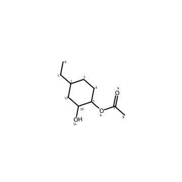 CCC1CCC(OC(C)=O)C(O)C1